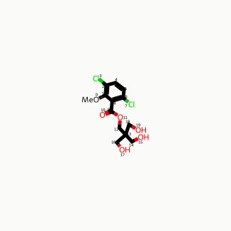 COc1c(Cl)ccc(Cl)c1C(=O)OCC(CO)(CO)CO